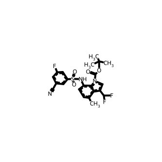 Cc1ccc(NS(=O)(=O)c2cc(F)cc(C#N)c2)c2c1c(C(F)F)cn2C(=O)OC(C)(C)C